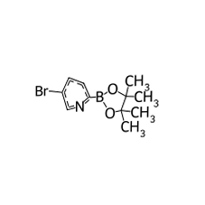 CC1(C)OB(c2ccc(Br)cn2)OC1(C)C